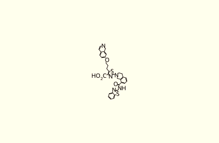 O=C(Nc1nc2ccccc2s1)c1cccc2c1CN(c1nc(C(=O)O)c(CCCOc3ccc4ccncc4c3)s1)CC2